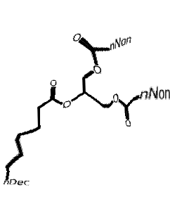 CCCCCCCCCCCCCCCC(=O)OC(COC(=O)CCCCCCCCC)COC(=O)CCCCCCCCC